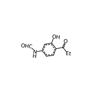 CCC(=O)c1ccc(NC=O)cc1O